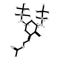 C=C1/C(=C/COC(C)=O)C[C@@H](O[Si](C)(C)C(C)(C)C)C[C@@H]1O[Si](C)(C)C(C)(C)C